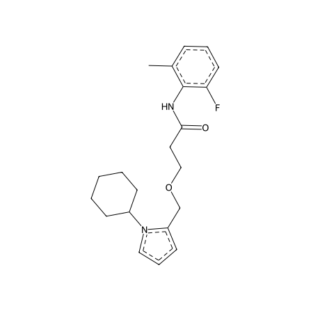 Cc1cccc(F)c1NC(=O)CCOCc1cccn1C1CCCCC1